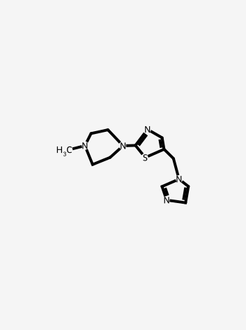 CN1CCN(c2ncc(Cn3ccnc3)s2)CC1